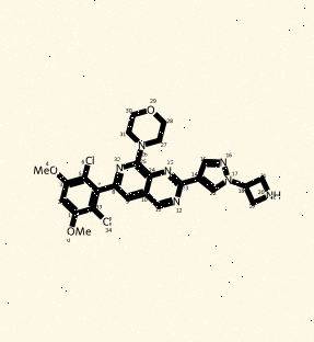 COc1cc(OC)c(Cl)c(-c2cc3cnc(-c4cnn(C5CNC5)c4)nc3c(N3CCOCC3)n2)c1Cl